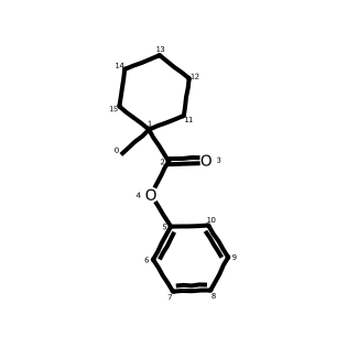 CC1(C(=O)Oc2ccccc2)CCCCC1